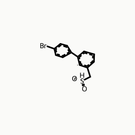 O=[SH](=O)Cc1[c]c(-c2ccc(Br)cc2)ccc1